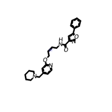 O=C(NC/C=C\COc1cc(CN2CCCCC2)ccn1)c1cc(-c2ccccc2)on1